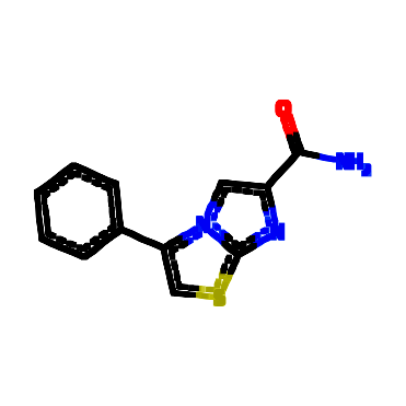 NC(=O)c1cn2c(-c3ccccc3)csc2n1